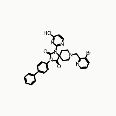 O=C1N(c2ccc(-c3ccccc3)cc2)C(=O)C2(CCN(Cc3ncccc3Br)CC2)N1c1nccc(O)n1